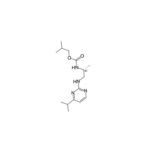 CC(C)COC(=O)N[C@H](C)CNc1nccc(C(C)C)n1